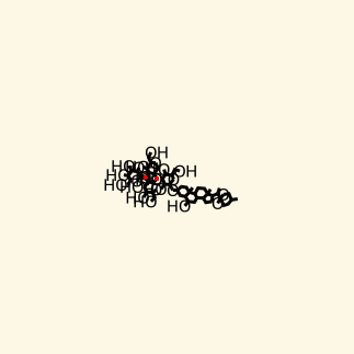 CC1CCC2(OC1)OC1CC3C4CC(O)C5CC(OC6OC(CO)C(OC7OC(CO)C(O)C(OC8OC(CO)C(O)C(O)C8O)C7OC7OC(CO)C(O)C(O)C7O)C(O)C6O)CCC5(C)C4CCC3(C)C1C2C